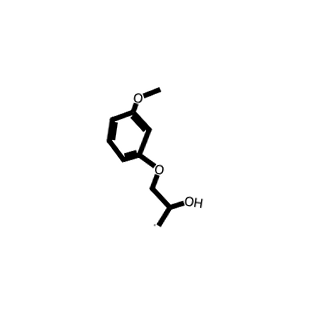 [CH2]C(O)COc1cccc(OC)c1